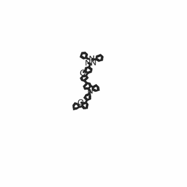 C1=CC2Oc3c(-c4ccc(-n5c6ccccc6c6cc(-c7ccc8oc9cc(-c%10nc(-c%11ccccc%11)nc(-c%11ccccc%11)n%10)ccc9c8c7)ccc65)cc4)cccc3C2C=C1